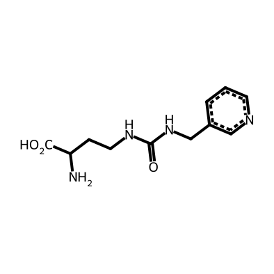 NC(CCNC(=O)NCc1cccnc1)C(=O)O